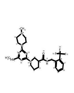 CNc1nc(N2CCN(C)CC2)nc(N2CCCC(C(=O)NCc3ccccc3C(F)(F)F)C2)n1